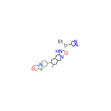 CC[C@H]1[C@@H](C(=O)Nc2cc3cc(C4CCN([C@]5(C)COC[C@@H]5F)CC4)c(C)cc3cn2)[C@@H]1c1cnn(C)c1